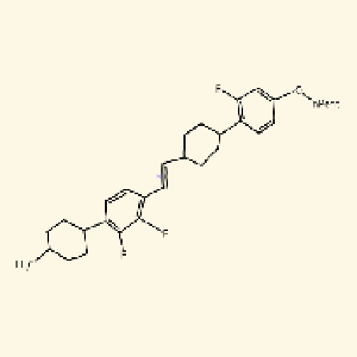 CCCCCOc1ccc(C2CCC(/C=C/c3ccc(C4CCC(C)CC4)c(F)c3F)CC2)c(F)c1